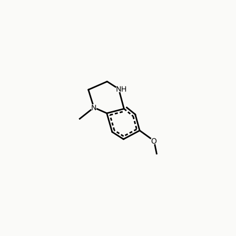 COc1ccc2c(c1)NCCN2C